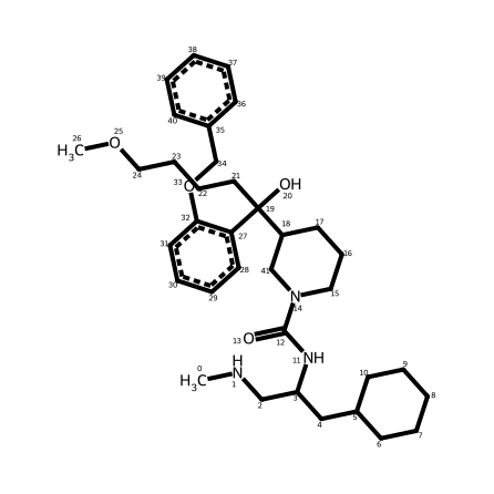 CNCC(CC1CCCCC1)NC(=O)N1CCCC(C(O)(CCCCOC)c2ccccc2OCc2ccccc2)C1